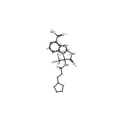 O=C(CCC1CCCC1)NC1(C(F)(F)F)C(=O)Nc2nc3c(C(=O)O)cccc3n21